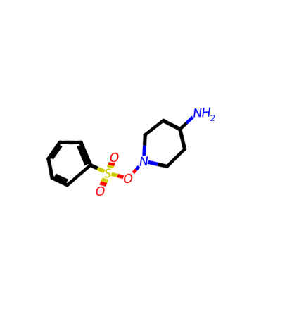 NC1CCN(OS(=O)(=O)c2ccccc2)CC1